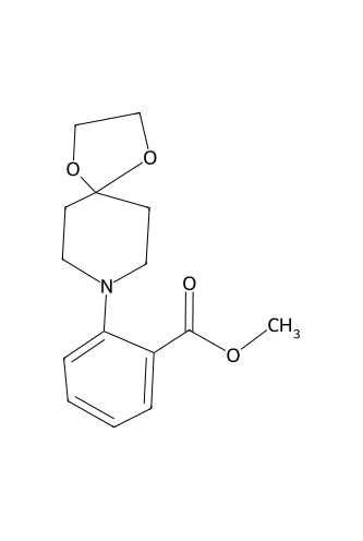 COC(=O)c1ccccc1N1CCC2(CC1)OCCO2